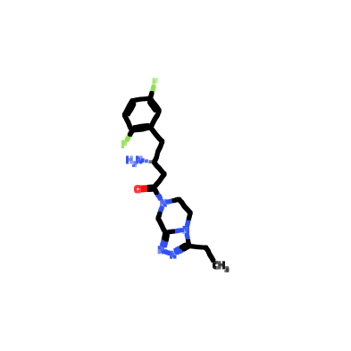 CCc1nnc2n1CCN(C(=O)C[C@H](N)Cc1cc(F)ccc1F)C2